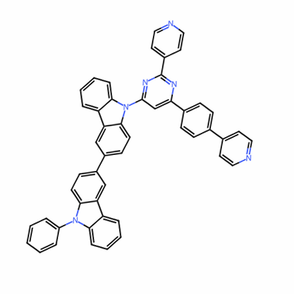 c1ccc(-n2c3ccccc3c3cc(-c4ccc5c(c4)c4ccccc4n5-c4cc(-c5ccc(-c6ccncc6)cc5)nc(-c5ccncc5)n4)ccc32)cc1